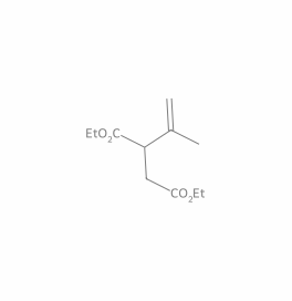 C=C(C)C(CC(=O)OCC)C(=O)OCC